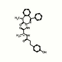 C[C@H](NC(=O)CCc1ccc(O)cc1)C(=O)N[C@H]1N=C(c2ccccc2)c2ccccc2N(C)C1=O